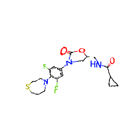 O=C(NCC1CN(c2cc(F)c(N3CCCSCC3)c(F)c2)C(=O)O1)C1CC1